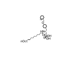 CCCCCCCCC=CCCCCCCCC(=O)N[C@H](COP(=O)(O)O)Cc1ccc(OCc2ccccn2)cc1